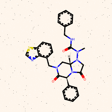 CN(C(=O)NCc1ccccc1)N1CC(=O)N2[C@@H](c3ccccc3)C(=O)N(Cc3cccc4scnc34)C[C@@H]21